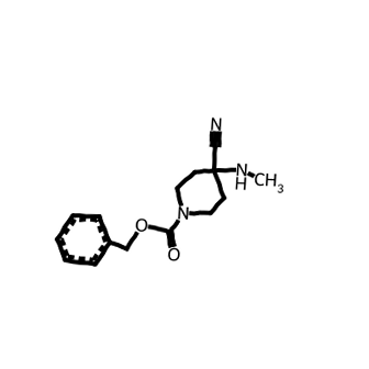 CNC1(C#N)CCN(C(=O)OCc2ccccc2)CC1